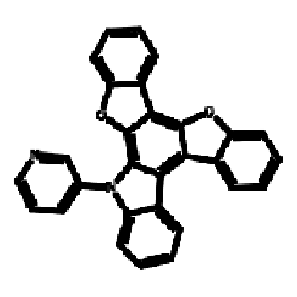 c1cncc(-n2c3ccccc3c3c4c5ccccc5oc4c4c5ccccc5oc4c32)c1